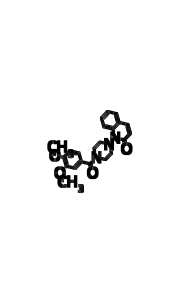 COc1ccc(C(=O)N2CCN(n3c(=O)ccc4ccccc43)CC2)cc1OC